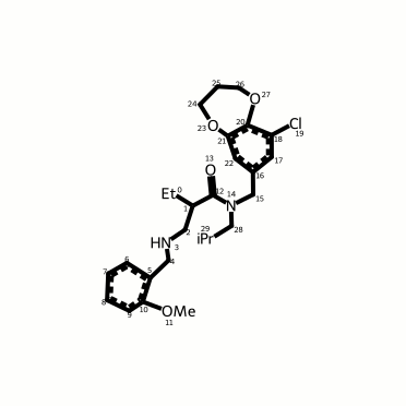 CCC(CNCc1ccccc1OC)C(=O)N(Cc1cc(Cl)c2c(c1)OCCCO2)CC(C)C